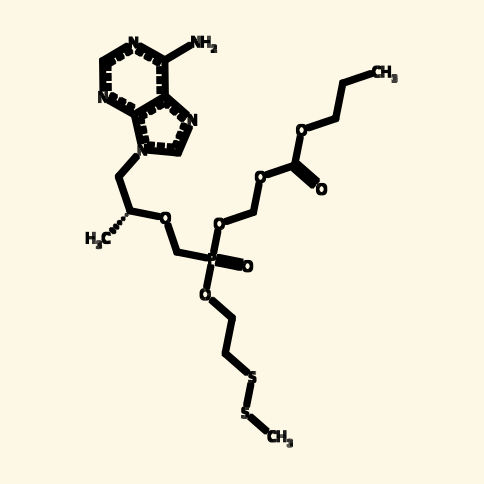 CCCOC(=O)OCOP(=O)(CO[C@H](C)Cn1cnc2c(N)ncnc21)OCCSSC